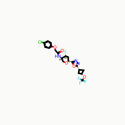 O=C(COc1ccc(Cl)cc1)N[C@@H]1CO[C@@H](c2nnc([C@H]3C[C@@H](OC(F)(F)F)C3)o2)C[C@H]1F